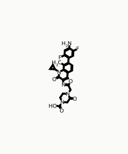 Cc1c(-c2cc(F)c(N)cc2F)ccc2c3oc(CN4CCN(C(=O)O)CC4=O)nc3c(=O)n(C3CC3)c12